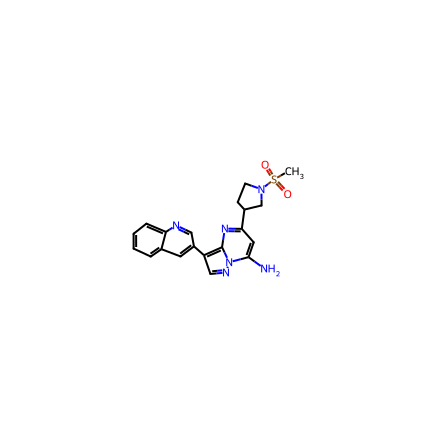 CS(=O)(=O)N1CCC(c2cc(N)n3ncc(-c4cnc5ccccc5c4)c3n2)C1